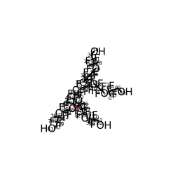 CC(C)(OC(F)(F)C(F)(F)OC(F)(F)C(F)(OC(C)(C)C(F)(F)C(F)(F)OC(C)(C)C(F)(F)CO)C(F)(F)OC(F)(F)C(F)(OC(C)(C)C(F)(F)C(F)(F)OC(C)(C)C(F)(F)CO)C(F)(F)OC(F)(F)C(F)(F)OC(C)(C)C(F)(F)CO)C(F)(F)CO